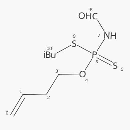 C=CCCOP(=S)(NC=O)SC(C)CC